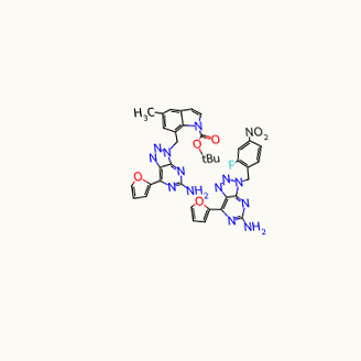 Cc1cc(Cn2nnc3c(-c4ccco4)nc(N)nc32)c2c(ccn2C(=O)OC(C)(C)C)c1.Nc1nc(-c2ccco2)c2nnn(Cc3ccc([N+](=O)[O-])cc3F)c2n1